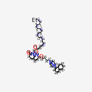 CC/C=C\C/C=C\C/C=C\C/C=C\C/C=C\C/C=C\CCC(=O)OCN1C(=O)CCc2ccc(OCCCCN3CCN(c4cccc5ccccc45)CC3)nc21